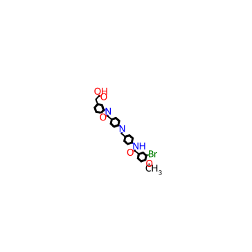 COc1ccc(C(=O)Nc2ccc(C=Nc3ccc(-c4nc5cc(CC(=O)O)ccc5o4)cc3)cc2)cc1Br